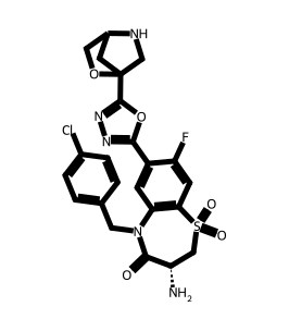 N[C@H]1CS(=O)(=O)c2cc(F)c(-c3nnc(C45CNC(CO4)C5)o3)cc2N(Cc2ccc(Cl)cc2)C1=O